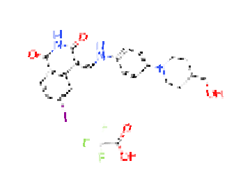 O=C(O)C(F)(F)F.O=C1NC(=O)c2ccc(I)cc2C1=CNc1ccc(N2CCC(CO)CC2)cc1